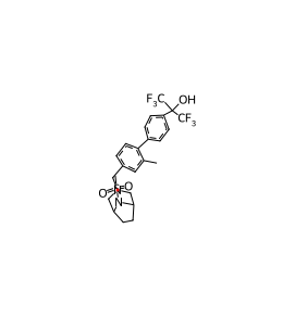 Cc1cc(CN2CC3CCC(C2)N3S(C)(=O)=O)ccc1-c1ccc(C(O)(C(F)(F)F)C(F)(F)F)cc1